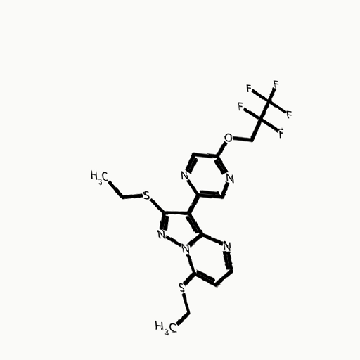 CCSc1nn2c(SCC)ccnc2c1-c1cnc(OCC(F)(F)C(F)(F)F)cn1